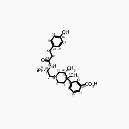 CC(C)[C@@H](CN1CC[C@@](C)(c2cccc(C(=O)O)c2)[C@@H](C)C1)NC(=O)CCc1ccc(O)cc1